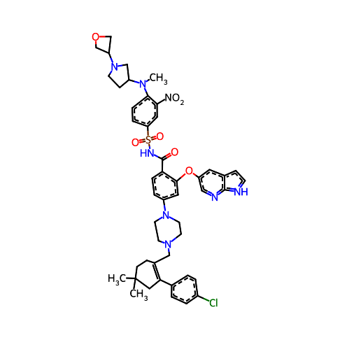 CN(c1ccc(S(=O)(=O)NC(=O)c2ccc(N3CCN(CC4=C(c5ccc(Cl)cc5)CC(C)(C)CC4)CC3)cc2Oc2cnc3[nH]ccc3c2)cc1[N+](=O)[O-])C1CCN(C2COC2)C1